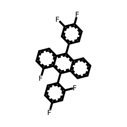 Fc1ccc(-c2c3ccccc3c(-c3ccc(F)c(F)c3)c3cccc(F)c23)c(F)c1